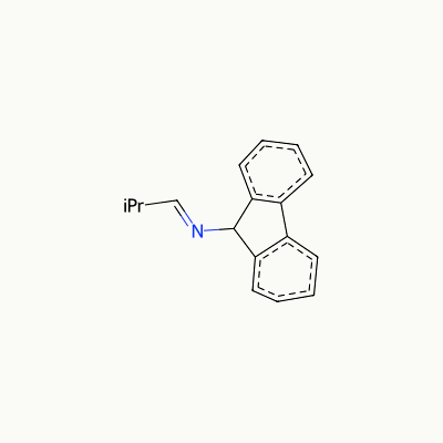 CC(C)C=NC1c2ccccc2-c2ccccc21